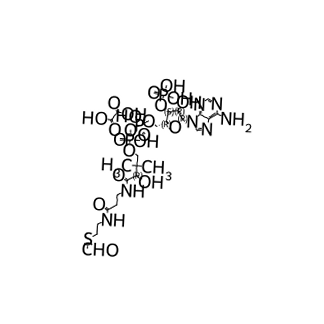 CC(C)(COP(=O)(O)OP(=O)(O)OC[C@H]1O[C@@H](n2cnc3c(N)ncnc32)[C@H](O)[C@@H]1OP(=O)(O)O)[C@@H](O)C(=O)NCCC(=O)NCCSC=O.O=C(O)C(=O)O